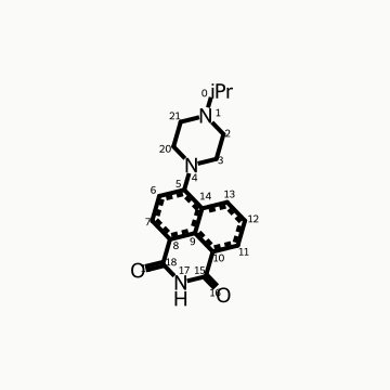 CC(C)N1CCN(c2ccc3c4c(cccc24)C(=O)NC3=O)CC1